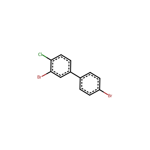 Clc1ccc(-c2ccc(Br)cc2)cc1Br